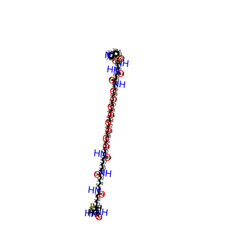 O=C(CCCCCNC(=O)CCCC[C@@H]1SC[C@@H]2NC(=O)N[C@@H]21)NCCCCCC(=O)NCCOCCOCCOCCOCCOCCOCCOCCOCCNC(=O)CCC(=O)NCCNS(=O)(=O)c1cccc2cnccc12